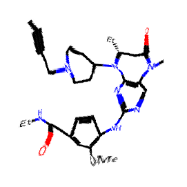 CC#CCN1CCC(N2c3nc(Nc4ccc(C(=O)NCC)cc4OC)ncc3N(C)C(=O)[C@H]2CC)CC1